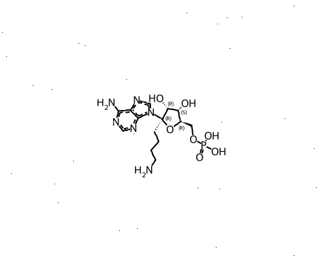 NCCCC[C@@]1(n2cnc3c(N)ncnc32)O[C@H](COP(=O)(O)O)[C@@H](O)[C@H]1O